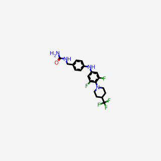 NC(=O)NCc1ccc(Nc2cc(F)c(N3CCC(C(F)(F)F)CC3)c(F)c2)cc1